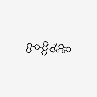 CC1(C)c2cc(-c3c4ccccc4c(-c4ccc(-c5cccc6ccccc56)cc4)c4ccccc34)ccc2Oc2c1ccc1c2oc2ccccc21